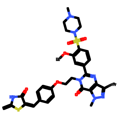 C=c1[nH]c(=O)/c(=C\c2ccc(OCCn3c(-c4ccc(S(=O)(=O)N5CCN(C)CC5)c(OCC)c4)nc4c(CCC)nn(C)c4c3=O)cc2)s1